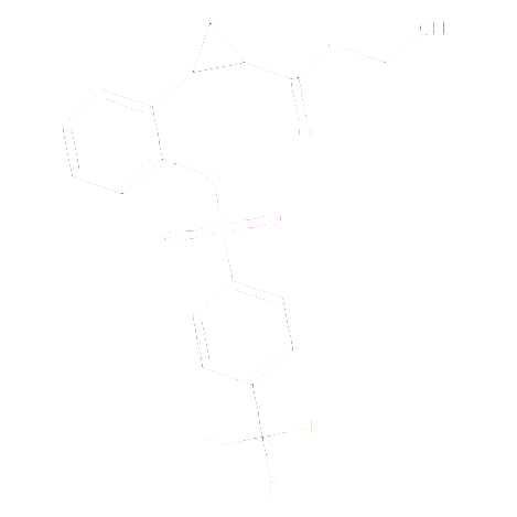 CCOC(=O)C1CC1c1ccccc1OS(=O)(=O)c1ccc(C(F)(F)F)cc1